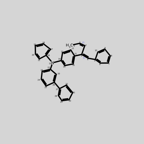 C/C=C\C(=C/c1ccccc1)c1ccc(N(c2ccccc2)c2cccc(-c3ccccc3)c2)cc1